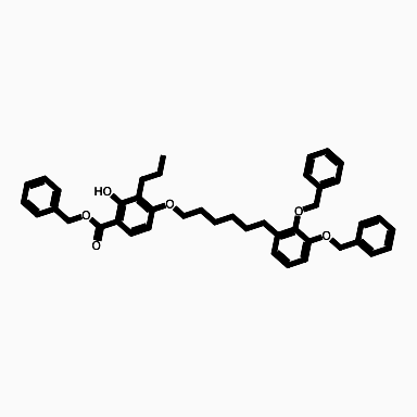 CCCc1c(OCCCCCCc2cccc(OCc3ccccc3)c2OCc2ccccc2)ccc(C(=O)OCc2ccccc2)c1O